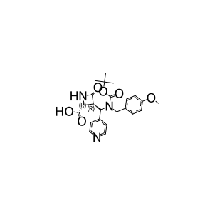 COc1ccc(CN(C(=O)OC(C)(C)C)C(c2ccncc2)[C@@H]2C(=O)N[C@H]2C(=O)O)cc1